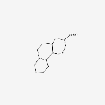 CCCCCCCCCC1CCC2C(CCC3CCCCC32)C1